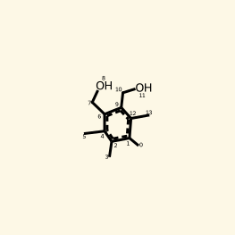 Cc1c(C)c(C)c(CO)c(CO)c1C